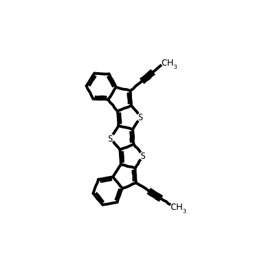 CC#CC1=c2sc3c(sc4c5c(sc43)=C(C#CC)c3ccccc3-5)c2-c2ccccc21